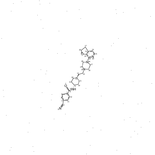 N#Cc1ccc(C(=O)N[C@H]2CC[C@H](CCN3CCN(c4nccc5c4OCC5)CC3)CC2)cc1